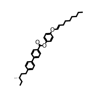 CCCCCCC/C=C/Oc1ccc(OC(=O)c2ccc(-c3ccc(CC[C@@H](C)CC)cc3)cc2)cc1